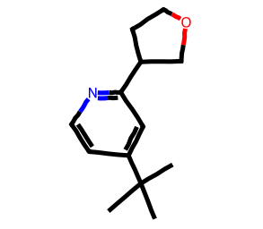 CC(C)(C)c1ccnc(C2CCOC2)c1